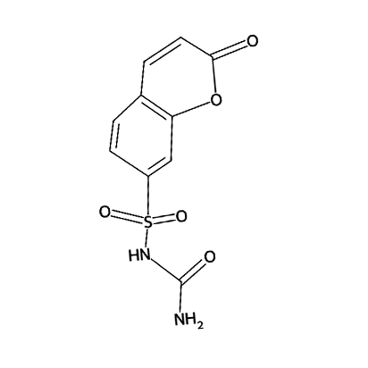 NC(=O)NS(=O)(=O)c1ccc2ccc(=O)oc2c1